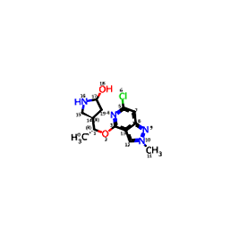 C[C@@H](Oc1nc(Cl)cc2nn(C)cc12)[C@H]1CNC(O)C1